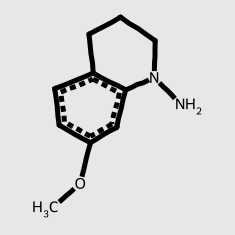 COc1ccc2c(c1)N(N)CCC2